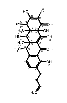 C=CCCc1ccc2c(c1O)C(=O)C1=C(O)[C@@]3(O)C(=O)C(C(C)=O)=C(O)C(C(C)C)[C@@]3(C)[C@H](O)[C@@]1(C)[C@@H]2C